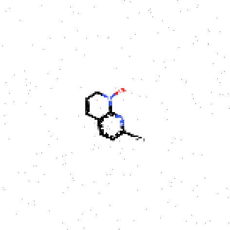 Cc1ccc2c(n1)N(O)CC=C2